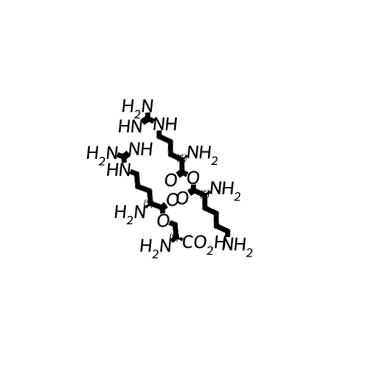 N=C(N)NCCC[C@H](N)C(=O)OC(=O)[C@@H](N)CCCCN.N=C(N)NCCC[C@H](N)C(=O)OC[C@H](N)C(=O)O